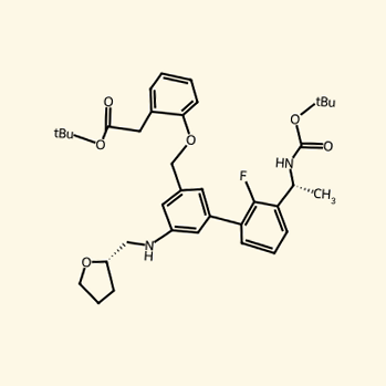 C[C@@H](NC(=O)OC(C)(C)C)c1cccc(-c2cc(COc3ccccc3CC(=O)OC(C)(C)C)cc(NC[C@@H]3CCCO3)c2)c1F